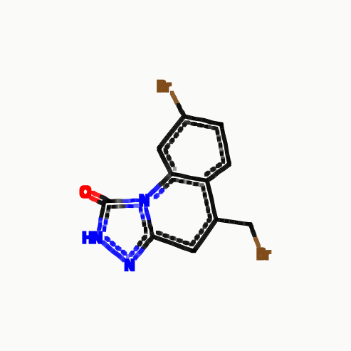 O=c1[nH]nc2cc(CBr)c3ccc(Br)cc3n12